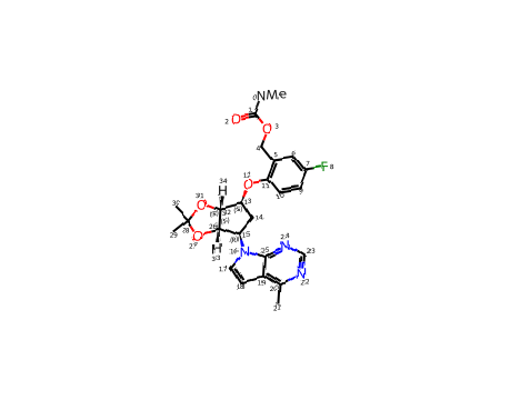 CNC(=O)OCc1cc(F)ccc1O[C@H]1C[C@@H](n2ccc3c(C)ncnc32)[C@@H]2OC(C)(C)O[C@@H]21